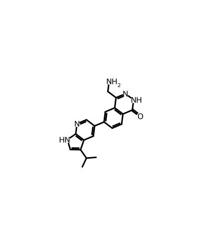 CC(C)c1c[nH]c2ncc(-c3ccc4c(=O)[nH]nc(CN)c4c3)cc12